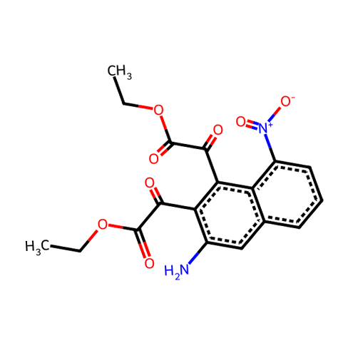 CCOC(=O)C(=O)c1c(N)cc2cccc([N+](=O)[O-])c2c1C(=O)C(=O)OCC